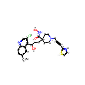 COc1ccc2ncc(Cl)c([C@H](O)CCC3(C(=O)NO)CCN(CC#Cc4nccs4)CC3)c2c1